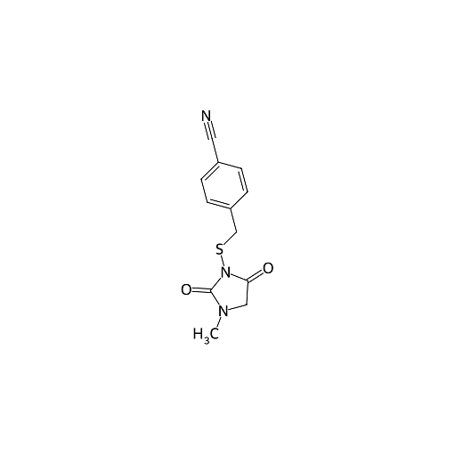 CN1CC(=O)N(SCc2ccc(C#N)cc2)C1=O